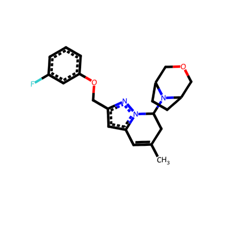 CC1=Cc2cc(COc3cccc(F)c3)nn2C(N2C3CCC2COC3)C1